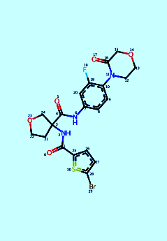 O=C(NC1(C(=O)Nc2ccc(N3CCOCC3=O)c(F)c2)CCOC1)c1ccc(Br)s1